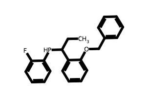 CCC(Pc1ccccc1F)c1ccccc1OCc1ccccc1